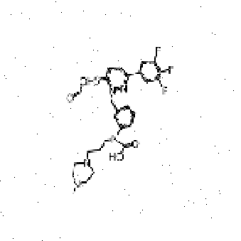 CN1CCN(CCCN(C(=O)O)c2cccc(Cn3nc(-c4cc(F)c(F)c(F)c4)ccc3=S)c2)CC1.O=CO